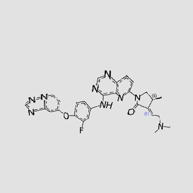 C[C@@H]1CN(c2ccc3ncnc(Nc4ccc(Oc5ccn6ncnc6c5)c(F)c4)c3n2)C(=O)/C1=C/CN(C)C